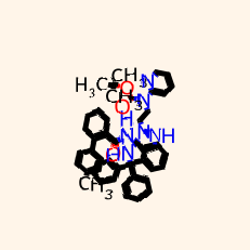 Cc1ccc(C2=C(C(=O)NC3(NC(c4ccccc4)(c4ccccc4)c4ccccc4)C=CNN3CCN(C(=O)OC(C)(C)C)c3ccccn3)CCCC2)cc1